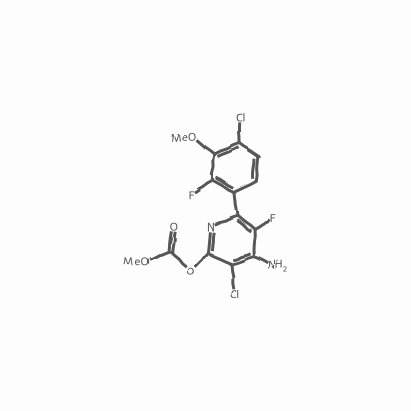 COC(=O)Oc1nc(-c2ccc(Cl)c(OC)c2F)c(F)c(N)c1Cl